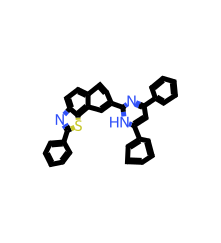 C1=C(c2ccccc2)NC(c2ccc3ccc4nc(-c5ccccc5)sc4c3c2)N=C1c1ccccc1